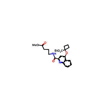 CCOC(=O)C1(Oc2cc(C(=O)NCCCC(=O)OC)nc3ccccc23)CCC1